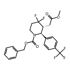 COC(=O)C[C@@H]1[C@@H](c2ccc(C(F)(F)F)cc2)N(C(=O)OCc2ccccc2)CCC1(F)F